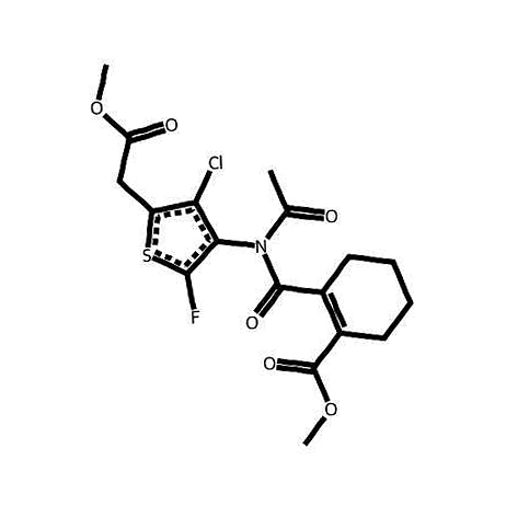 COC(=O)Cc1sc(F)c(N(C(C)=O)C(=O)C2=C(C(=O)OC)CCCC2)c1Cl